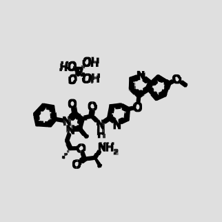 COc1ccc2c(Oc3ccc(NC(=O)c4c(C)n(C[C@@H](C)OC(=O)[C@H](C)N)n(-c5ccccc5)c4=O)nc3)ccnc2c1.O=P(O)(O)O